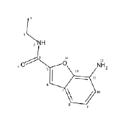 CCNC(=O)c1cc2cccc(N)c2o1